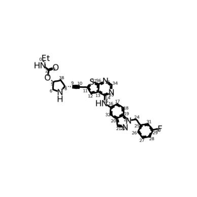 CCNC(=O)O[C@H]1CN[C@@H](C#Cc2cc3c(Nc4ccc5c(cnn5Cc5cccc(F)c5)c4)ncnc3s2)C1